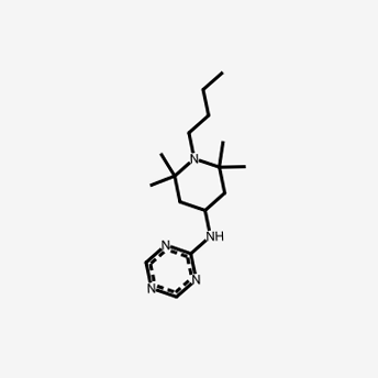 CCCCN1C(C)(C)CC(Nc2ncncn2)CC1(C)C